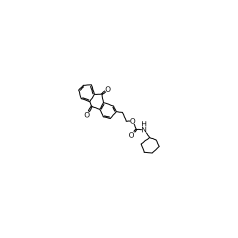 O=C(NC1CCCCC1)OCCc1ccc2c(c1)C(=O)c1ccccc1C2=O